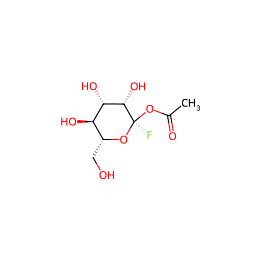 CC(=O)O[C@@]1(F)O[C@H](CO)[C@@H](O)[C@H](O)[C@@H]1O